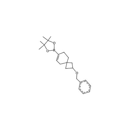 CC1(C)OB(C2=CCC3(CC2)CC(OCc2ccccc2)C3)OC1(C)C